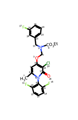 CCOC(=O)N(COc1cc(C)n(-c2c(F)cccc2F)c(=O)c1Cl)Cc1cccc(F)c1